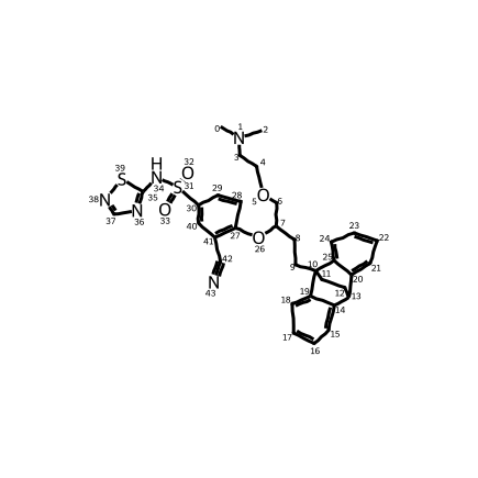 CN(C)CCOCC(CCC12CCC(c3ccccc31)c1ccccc12)Oc1ccc(S(=O)(=O)Nc2ncns2)cc1C#N